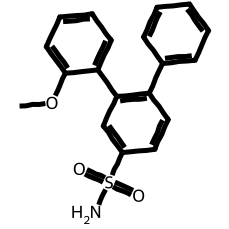 COc1ccccc1-c1cc(S(N)(=O)=O)ccc1-c1ccccc1